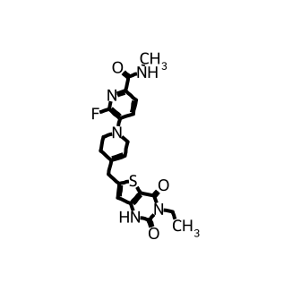 CCn1c(=O)[nH]c2cc(CC3=CCN(c4ccc(C(=O)NC)nc4F)CC3)sc2c1=O